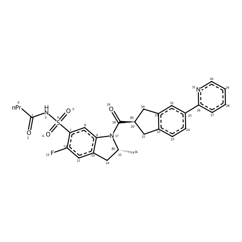 CCCC(=O)NS(=O)(=O)c1cc2c(cc1F)C[C@@H](C)N2C(=O)[C@@H]1Cc2ccc(-c3ccccn3)cc2C1